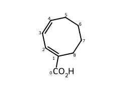 O=C(O)C1=CC=CCCCC1